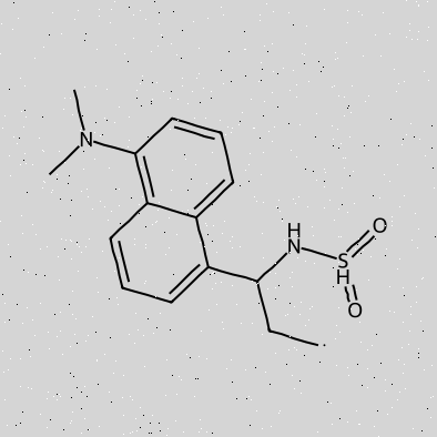 [CH2]CC(N[SH](=O)=O)c1cccc2c(N(C)C)cccc12